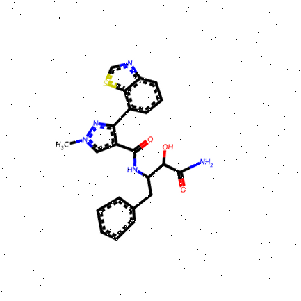 Cn1cc(C(=O)NC(Cc2ccccc2)C(O)C(N)=O)c(-c2cccc3ncsc23)n1